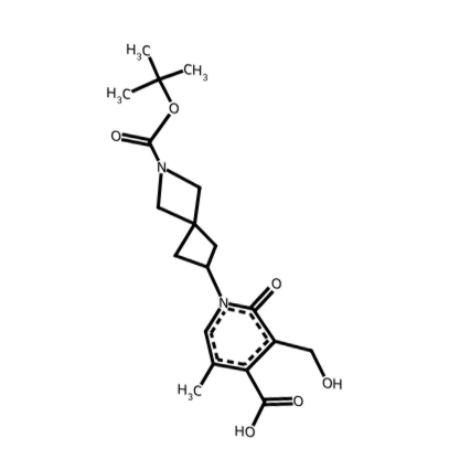 Cc1cn(C2CC3(C2)CN(C(=O)OC(C)(C)C)C3)c(=O)c(CO)c1C(=O)O